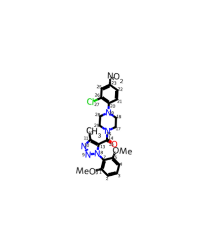 COc1cccc(OC)c1-n1nnc(C)c1C(=O)N1CCN(c2ccc([N+](=O)[O-])cc2Cl)CC1